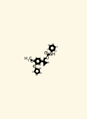 COc1ccc(C2(COC(=O)Nc3ccccc3)CC2)cc1OC1CCCC1